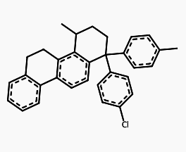 Cc1ccc(C2(c3ccc(Cl)cc3)CCC(C)c3c2ccc2c3CCc3ccccc3-2)cc1